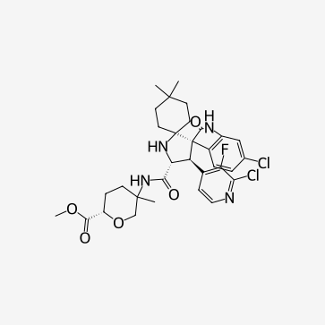 COC(=O)[C@@H]1CCC(C)(NC(=O)[C@@H]2NC3(CCC(C)(C)CC3)[C@@]3(C(=O)Nc4cc(Cl)ccc43)[C@H]2c2ccnc(Cl)c2F)CO1